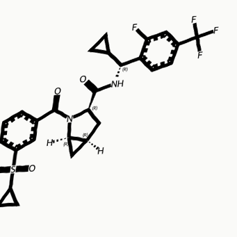 O=C(N[C@@H](c1ccc(C(F)(F)F)cc1F)C1CC1)[C@H]1C[C@H]2C[C@H]2N1C(=O)c1cccc(S(=O)(=O)C2CC2)c1